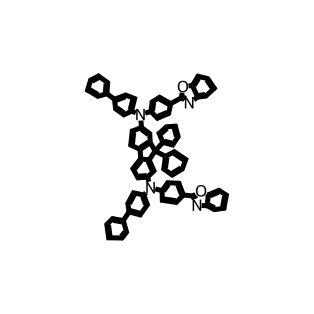 c1ccc(-c2ccc(N(c3ccc(-c4nc5ccccc5o4)cc3)c3ccc4c(c3)C(c3ccccc3)(c3ccccc3)c3cc(N(c5ccc(-c6ccccc6)cc5)c5ccc(-c6nc7ccccc7o6)cc5)ccc3-4)cc2)cc1